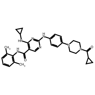 Cc1cccc(C)c1NC(=O)c1cnc(Nc2ccc(N3CCN(C(=O)C4CC4)CC3)cc2)nc1NC1CC1